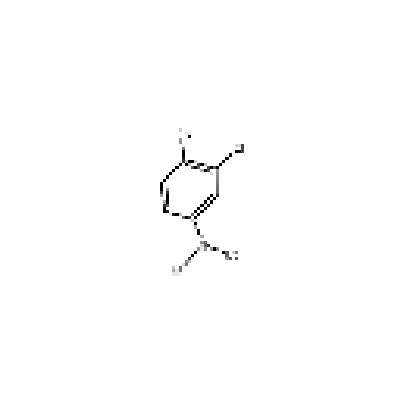 CCN(CC)c1ccc(C#N)c(Cl)c1